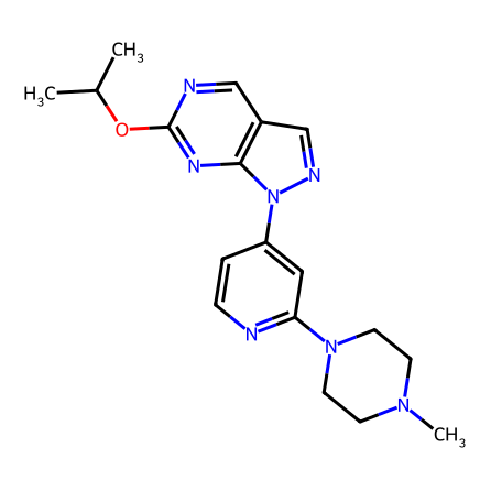 CC(C)Oc1ncc2cnn(-c3ccnc(N4CCN(C)CC4)c3)c2n1